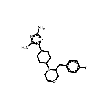 Nc1nc(N)n(C2CCC(N3CCOCC3Cc3ccc(F)cc3)CC2)n1